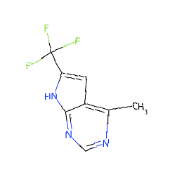 Cc1ncnc2[nH]c(C(F)(F)F)cc12